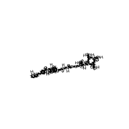 Cc1cc(OCCCC(=O)NCCNC(=O)COCCOCCNC(=O)[C@H](CS(=O)(=O)O)NC(=O)CN2CCN(CC(=O)O)CCN(CC(=O)O)CCN(CC(O)O)CC2)cc(C)c1S(=O)(=O)NC(CNC(=O)c1ccc(CCc2ccc3c(n2)NCCC3)cc1)C(=O)O